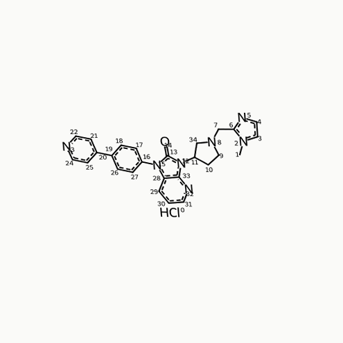 Cl.Cn1ccnc1CN1CCC(n2c(=O)n(-c3ccc(-c4ccncc4)cc3)c3cccnc32)C1